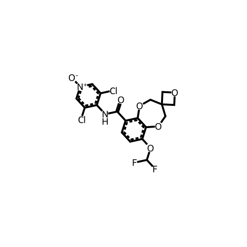 O=C(Nc1c(Cl)c[n+]([O-])cc1Cl)c1ccc(OC(F)F)c2c1OCC1(COC1)CO2